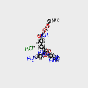 COCCOCCOCCNC(=O)c1ccc(-c2cccc(C[C@H](NC(=O)[C@H]3CC[C@H](CN)CC3)C(=O)Nc3ccc(-c4nnn[nH]4)cc3)c2)c(C)c1.Cl